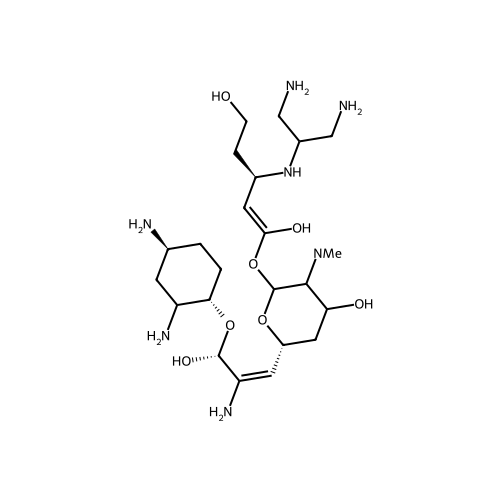 CNC1C(O)C[C@H](/C=C(/N)[C@H](O)O[C@H]2CC[C@H](N)CC2N)OC1O/C(O)=C/[C@@H](CCO)NC(CN)CN